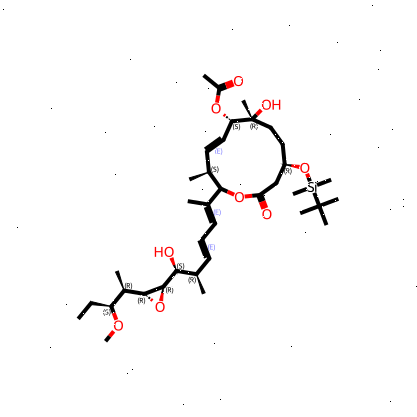 CC[C@H](OC)[C@@H](C)[C@H]1O[C@@H]1[C@@H](O)[C@H](C)/C=C/C=C(\C)C1OC(=O)C[C@H](O[Si](C)(C)C(C)(C)C)CC[C@@](C)(O)[C@@H](OC(C)=O)/C=C/[C@@H]1C